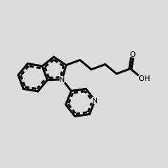 O=C(O)CCCCc1cc2ccccc2n1-c1cccnc1